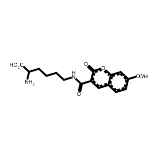 COc1ccc2cc(C(=O)NCCCCC(N)C(=O)O)c(=O)oc2c1